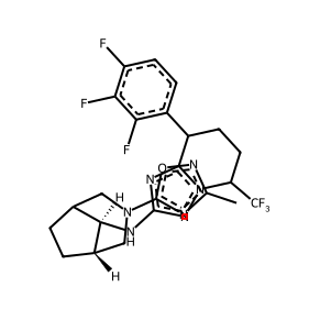 Cc1noc(N2CC3CC[C@@H](C2)[C@@H]3Nc2nc3n(n2)C(C(F)(F)F)CCC3c2ccc(F)c(F)c2F)n1